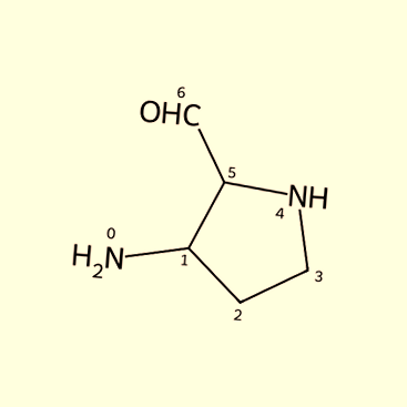 NC1CCNC1C=O